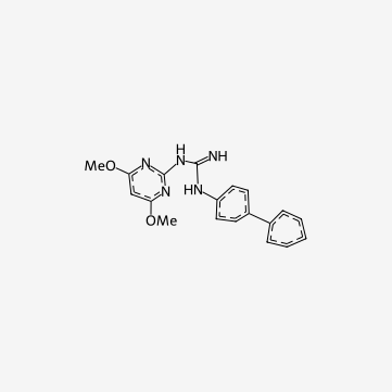 COc1cc(OC)nc(NC(=N)Nc2ccc(-c3ccccc3)cc2)n1